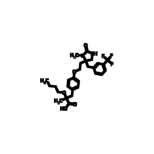 CCCCOC(C)(Cc1ccc(OCCC2(Cc3cccc(C(F)(F)F)c3)CNC(=O)N2C)cc1)C(=O)O